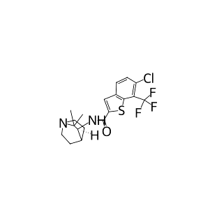 CC1(C)[C@@H](NC(=O)c2cc3ccc(Cl)c(C(F)(F)F)c3s2)C2CCN1CC2